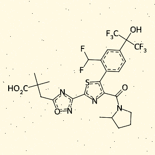 CC1CCCN1C(=O)c1nc(-c2noc(CC(C)(C)C(=O)O)n2)sc1-c1ccc(C(O)(C(F)(F)F)C(F)(F)F)cc1C(F)F